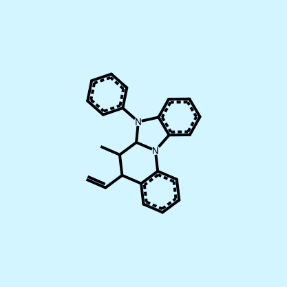 C=CC1c2ccccc2N2c3ccccc3N(c3ccccc3)C2C1C